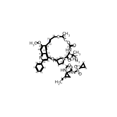 C=C[C@@H]1C[C@]1(NC(=O)[C@@H]1C[C@@H]2CN1C(=O)[C@H](C(C)(C)C)NC(=O)OCC(C)CC/C=C/c1cc3c(cc(-c4ccccc4)nc3cc1OC)O2)C(=O)NS(=O)(=O)C1CC1